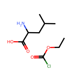 CC(C)CC(N)C(=O)O.CCOC(=O)Cl